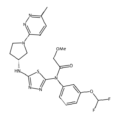 COCC(=O)N(c1cccc(OC(F)F)c1)c1nnc(N[C@@H]2CCN(c3ccc(C)nn3)C2)s1